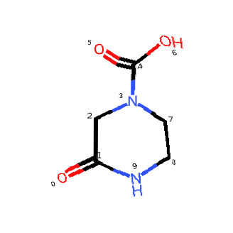 O=C1CN(C(=O)O)CCN1